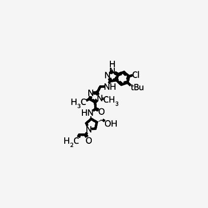 C=CC(=O)N1C[C@@H](CO)[C@@H](NC(=O)c2c(C)nc(CNc3n[nH]c4cc(Cl)c(C(C)(C)C)cc34)n2C)C1